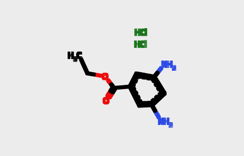 CCOC(=O)c1cc(N)cc(N)c1.Cl.Cl